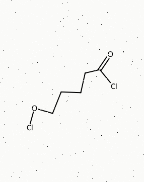 O=C(Cl)CCCCOCl